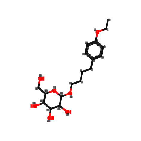 CCOc1ccc(CCCCOC2OC(CO)C(O)C(O)C2O)cc1